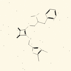 Cc1nc(CNc2c(NCC(Cc3ccccc3)N(C)C)c(=O)c2=O)sc1C